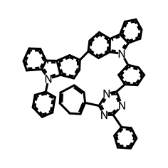 C1=CCC=C(c2nc(-c3ccccc3)nc(-c3cccc(-n4c5ccccc5c5ccc(-c6ccc7c(c6)c6ccccc6n7-c6ccccc6)cc54)c3)n2)C=C1